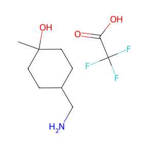 CC1(O)CCC(CN)CC1.O=C(O)C(F)(F)F